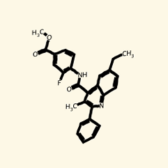 CCc1ccc2nc(-c3ccccc3)c(C)c(C(=O)Nc3ccc(C(=O)OC)cc3F)c2c1